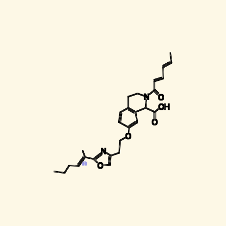 CC=CC=CC(=O)N1CCc2ccc(OCCc3coc(/C(C)=C/CCC)n3)cc2C1C(=O)O